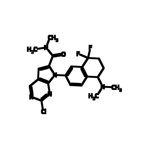 CN(C)C(=O)c1cc2cnc(Cl)nc2n1-c1ccc2c(c1)C(F)(F)CCC2N(C)C